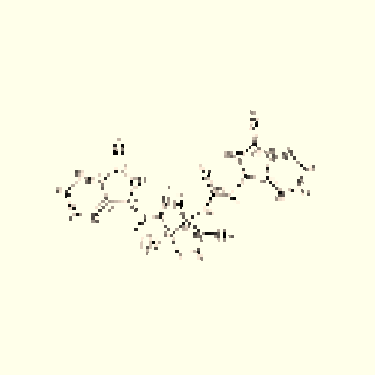 N[C@@]1(C(=O)OC2OC(=O)c3ccccc32)CC[C@H]2[C@H](C(=O)OC3OC(=O)c4ccccc43)[C@H]21